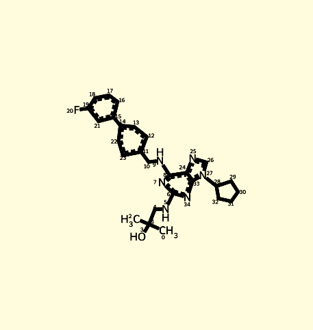 CC(C)(O)CNc1nc(NCc2ccc(-c3cccc(F)c3)cc2)c2ncn(C3CCCC3)c2n1